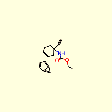 C#CC1(NC(=O)OCC)CC=CCC1.c1cc2cc-2c1